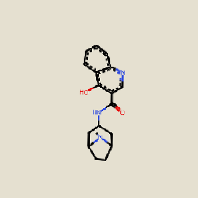 CN1C2CCC1CC(NC(=O)c1cnc3ccccc3c1O)C2